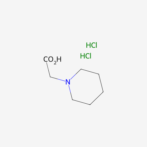 Cl.Cl.O=C(O)CN1CCCCC1